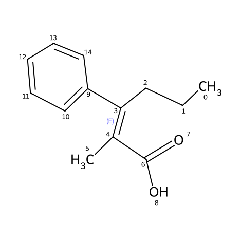 CCC/C(=C(/C)C(=O)O)c1ccccc1